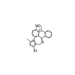 CCc1cc(C)n2c1CN=C(c1ccccc1Cl)c1cc([N+](=O)[O-])ccc1-2